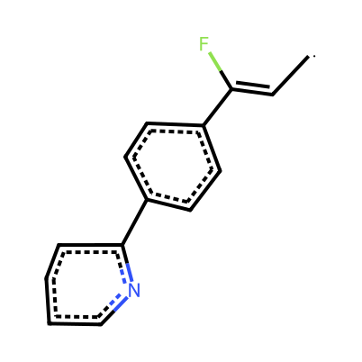 [CH2]/C=C(\F)c1ccc(-c2ccccn2)cc1